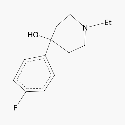 CCN1CCC(O)(c2ccc(F)cc2)CC1